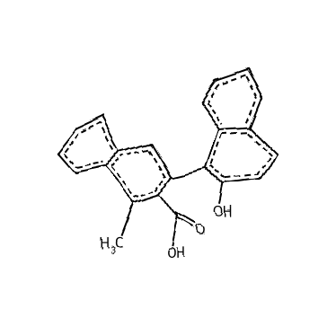 Cc1c(C(=O)O)c(-c2c(O)ccc3ccccc23)cc2ccccc12